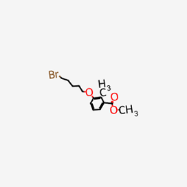 COC(=O)c1cccc(OCCCCCBr)c1C